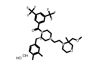 COCC1(C)COCCN1CCN1CCN(C(=O)c2cc(C(F)(F)F)cc(C(F)(F)F)c2)[C@H](Cc2ccc(C)c(C)c2)C1.Cl.Cl